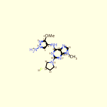 COc1nn(N)cc1Nc1nc(N2CC[C@H](F)C2)nc2c1ncn2C